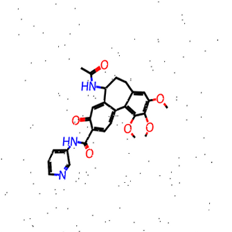 COc1cc2c(c(OC)c1OC)-c1ccc(C(=O)Nc3cccnc3)c(=O)cc1C(NC(C)=O)CC2